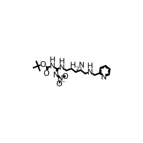 CC(C)(C)OC(=O)NC(=N[N+](=O)[O-])NCCC[C@H](N)CNCc1ccccn1